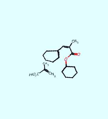 C=C(C)C(=O)O.CC(=CC1CCCCC1)C(=O)OC1CCCCC1